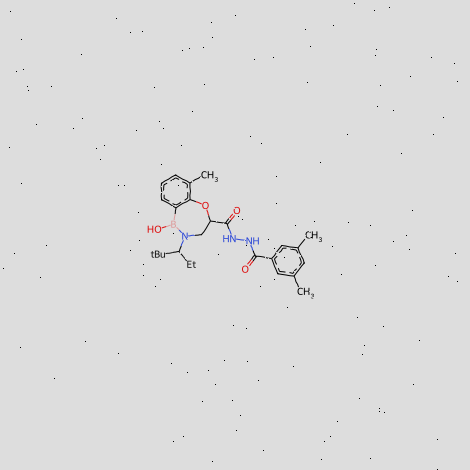 CCC(N1CC(C(=O)NNC(=O)c2cc(C)cc(C)c2)Oc2c(C)cccc2B1O)C(C)(C)C